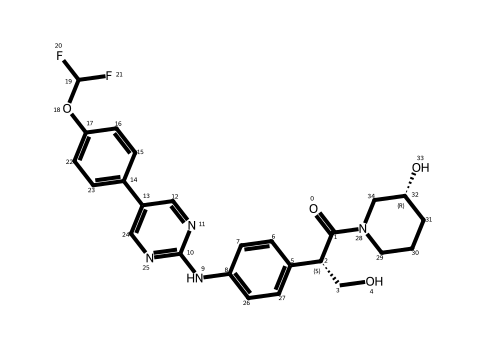 O=C([C@H](CO)c1ccc(Nc2ncc(-c3ccc(OC(F)F)cc3)cn2)cc1)N1CCC[C@@H](O)C1